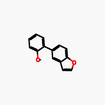 [O]c1ccccc1-c1ccc2occc2c1